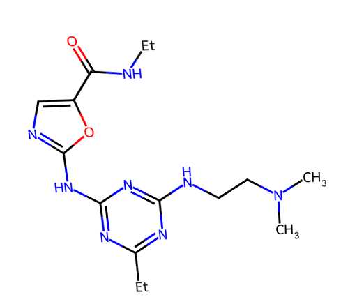 CCNC(=O)c1cnc(Nc2nc(CC)nc(NCCN(C)C)n2)o1